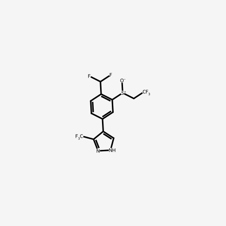 [O-][S+](CC(F)(F)F)c1cc(-c2c[nH]nc2C(F)(F)F)ccc1C(F)F